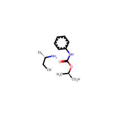 CC[C@H](N)CC#N.C[C@@H](OC(=O)Nc1ccccc1)C(=O)O